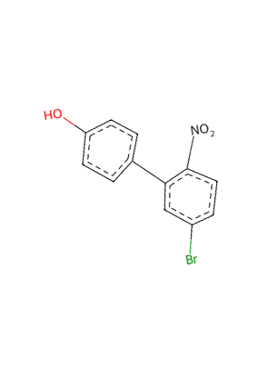 O=[N+]([O-])c1ccc(Br)cc1-c1ccc(O)cc1